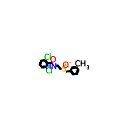 Cc1cccc(C[S+]([O-])CCNC(=O)c2c(Cl)cccc2Cl)c1